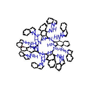 C1=CC2=C(Nn3ccc4ccccc43)c3c(c4nc5nc(nc6[nH]c(nc7nc(nc3[nH]4)-c3c-7c(Nn4ccc7ccccc74)c4ccccc4c3Nn3ccc4ccccc43)c3c(Nn4ccc7ccccc74)c4ccccc4c(Nn4ccc7ccccc74)c63)-c3c-5c(Nn4ccc5ccccc54)c4ccccc4c3Nn3ccc4ccccc43)C(Nn3ccc4ccccc43)C2C=C1